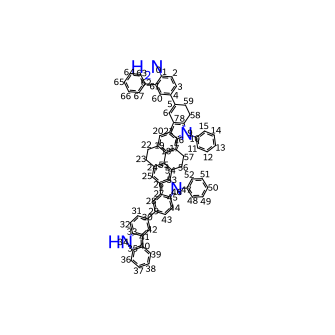 Nc1ccc(C2=Cc3c(n(-c4ccccc4)c4c5c6c(cc34)CCc3cc4c7cc(-c8ccc9[nH]c%10ccccc%10c9c8)ccc7n(-c7ccccc7)c4c(c3-6)CC5)CC2)cc1-c1ccccc1